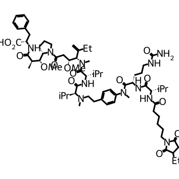 C=C(CC)[C@@H]([C@@H](CC(=O)N1CCC[C@H]1[C@H](OC)[C@@H](C)C(=O)N[C@@H](Cc1ccccc1)C(=O)O)OC)N(C)C(=O)[C@@H](NC(=O)[C@H](C(C)C)N(C)CCc1ccc(N(C)C(=O)[C@H](CCCNC(N)=O)NC(=O)[C@@H](NC(=O)CCCCCN2C(=O)CC(CC)C2=O)C(C)C)cc1)C(C)C